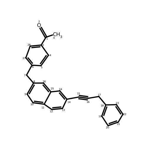 CC(=O)c1ccc(Cc2ccc3ccc(C#CCc4ccccc4)cc3c2)cc1